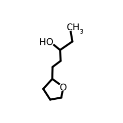 CCC(O)CCC1CCCO1